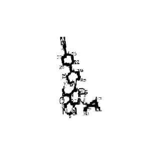 Cc1oc2ncnc(NC3(C)CC3)c2c1C(=O)N1CCC(c2ccc(C#N)cc2)CC1